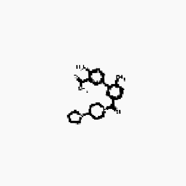 Cc1ccc(C(=O)N2CCC(N3CCCC3)CC2)cc1-c1cnc(N)c(C(N)=O)c1